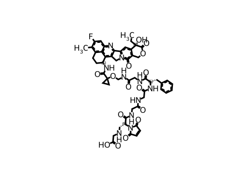 CC[C@@]1(O)C(=O)OCc2c1cc1n(c2=O)Cc2c-1nc1cc(F)c(C)c3c1c2[C@@H](NC(=O)C1(OCNC(=O)CNC(=O)[C@H](Cc2ccccc2)NC(=O)CNC(=O)CNC(=O)[C@@H](CNCC(=O)O)N2C(=O)C=CC2=O)CC1)CC3